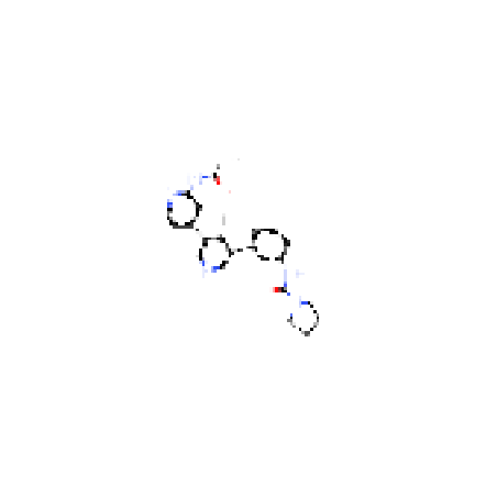 COC(=O)Nc1cc(-c2cncc(-c3cc(NC(=O)N4CCCC4)ccc3C)c2)ccn1